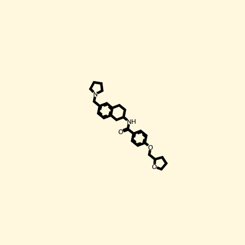 O=C(NC1CCc2cc(CN3CCCC3)ccc2C1)c1ccc(OCC2CCCO2)cc1